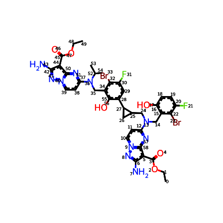 CCOC(=O)c1c(N)nn2ccc(N(Cc3c(O)ccc(F)c3Br)CC3CC3c3cc(F)c(Br)c(CN(c4ccn5nc(N)c(C(=O)OCC)c5n4)C(C)C)c3O)nc12